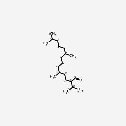 CC(C)CCCC(C)CCCC(C)CCC(C=O)C(C)C